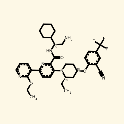 CCOc1ncccc1-c1ccc(N2CC[C@@H](Oc3ccc(C(F)(F)F)cc3C#N)C[C@H]2CC)c(C(=O)N[C@H](CN)C2CCCCC2)n1